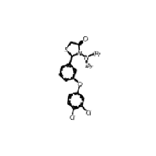 CC(C)N(C(C)C)N1C(=O)CSC1c1cccc(Oc2ccc(Cl)c(Cl)c2)c1